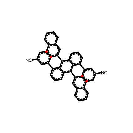 [C-]#[N+]c1cccc(-c2cccc3c(-c4ccc5ccccc5c4)c4c(-c5cccc(C#N)c5)cccc4c(-c4ccc5ccccc5c4)c23)c1